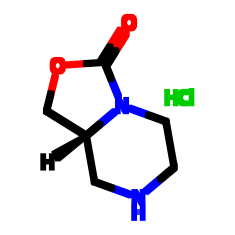 Cl.O=C1OC[C@H]2CNCCN12